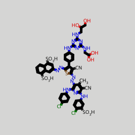 Cc1c(C#N)c(Nc2ccc(Cl)c(S(=O)(=O)O)c2)nc(Nc2ccc(Cl)cc2)c1N=Nc1sc(/N=N/c2cc(S(=O)(=O)O)c3cccc(S(=O)(=O)O)c3c2)c(-c2ccc(Nc3nc(NCC(O)O)nc(NCC(O)CO)n3)cc2)c1C#N